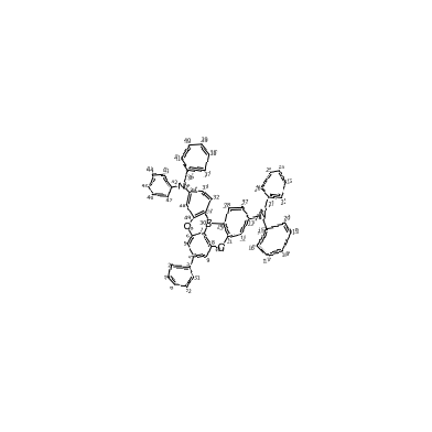 c1ccc(-c2cc3c4c(c2)Oc2cc(N(c5ccccc5)c5ccccc5)ccc2B4c2ccc(N(c4ccccc4)c4ccccc4)cc2O3)cc1